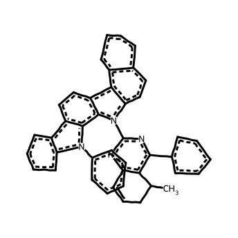 CC1CC=Cc2nc(-n3c4ccc5ccccc5c4c4ccc5c6ccccc6n(-c6ccccc6)c5c43)nc(-c3ccccc3)c21